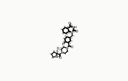 C[C@]1(C(=O)N2CCN(C(=O)c3cc(Cn4c(=O)[nH]c(=O)c5ccccc54)ccc3F)CC2)CCCN1